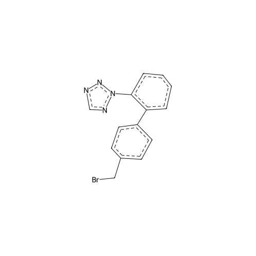 BrCc1ccc(-c2ccccc2-n2ncnn2)cc1